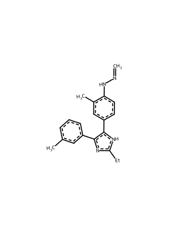 C=NNc1ccc(-c2[nH]c(CC)nc2-c2cccc(C)c2)cc1C